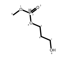 CO[PH](=O)OCCCO